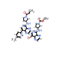 C=CC(=O)N1CC[C@H](Nc2ncc(-c3ccc(C(F)(F)F)cn3)c3nccnc23)C1.CC(C)(C)OC(=O)N1CC[C@H](Nc2ncc(Br)c3nccnc23)C1